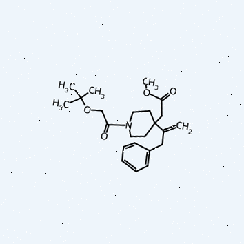 C=C(Cc1ccccc1)C1(CC(=O)OC)CCN(C(=O)COC(C)(C)C)CC1